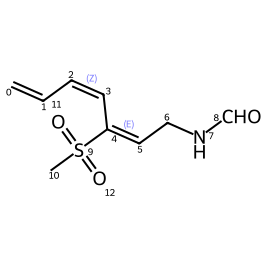 C=C/C=C\C(=C/CNC=O)S(C)(=O)=O